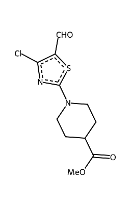 COC(=O)C1CCN(c2nc(Cl)c(C=O)s2)CC1